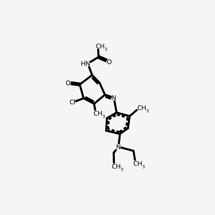 CCN(CC)c1ccc(N=C2C=C(NC(C)=O)C(=O)C(Cl)=C2C)c(C)c1